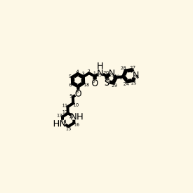 O=C(Cc1cccc(OCCCC2CNCCN2)c1)Nc1nc(-c2ccncc2)cs1